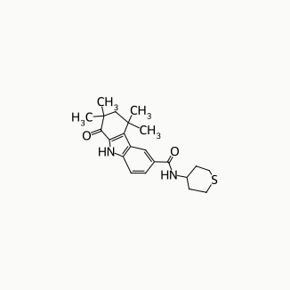 CC1(C)CC(C)(C)c2c([nH]c3ccc(C(=O)NC4CCSCC4)cc23)C1=O